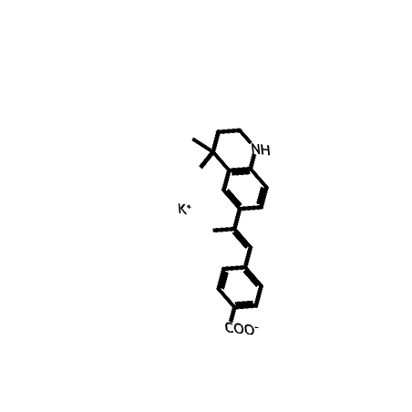 C/C(=C\c1ccc(C(=O)[O-])cc1)c1ccc2c(c1)C(C)(C)CCN2.[K+]